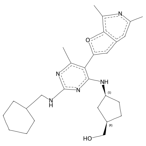 Cc1cc2cc(-c3c(C)nc(NCC4CCCCC4)nc3N[C@H]3CC[C@@H](CO)C3)oc2c(C)n1